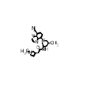 C[C@H]1C[C@@H](NC(=O)CC2CCN(C)C2)CN(c2ccc(C#N)c3nccnc23)C1